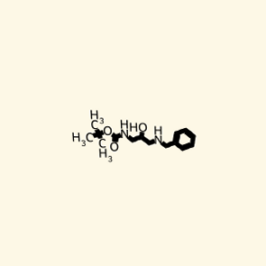 CC(C)(C)OC(=O)NCC(O)CNCc1ccccc1